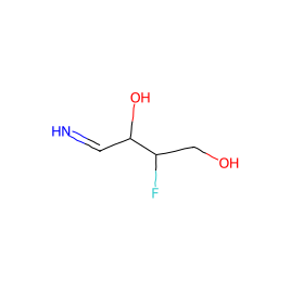 N=CC(O)C(F)CO